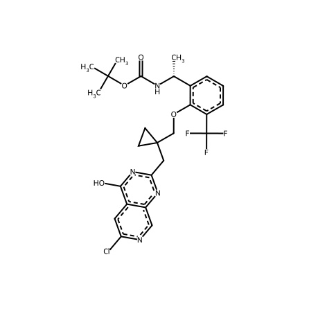 C[C@@H](NC(=O)OC(C)(C)C)c1cccc(C(F)(F)F)c1OCC1(Cc2nc(O)c3cc(Cl)ncc3n2)CC1